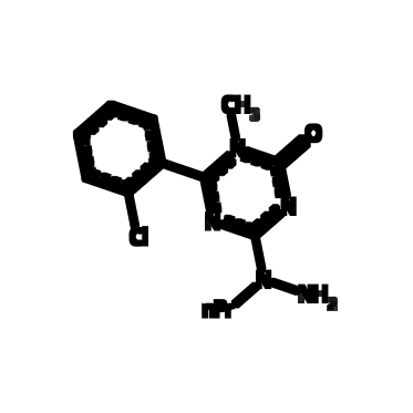 CCCN(N)c1nc(-c2ccccc2Cl)n(C)c(=O)n1